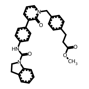 COC(=O)CCc1ccc(Cn2cccc(-c3ccc(NC(=O)N4CCc5ccccc54)cc3)c2=O)cc1